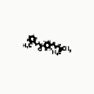 Cc1ccccc1CCC(=O)c1ccc(CCCN(C)C)cc1